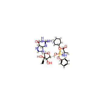 C#C[C@@]1(O)[C@H](O)[C@@H](COP(=S)(NC(C)C(=O)OC2CCCCC2)Oc2ccccc2)O[C@H]1N1C=NC2C(=O)NC(N)=NC21